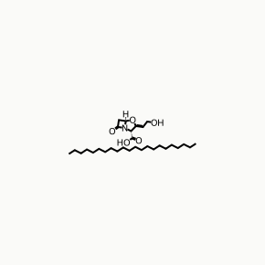 CCCCCCCCCCCCCCCCCCCCCC.O=C(O)[C@H]1/C(=C/CO)O[C@@H]2CC(=O)N21